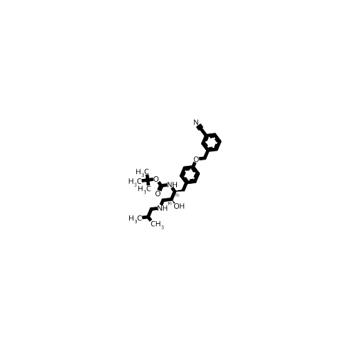 CC(C)CNC[C@@H](O)[C@H](Cc1ccc(OCc2cccc(C#N)c2)cc1)NC(=O)OC(C)(C)C